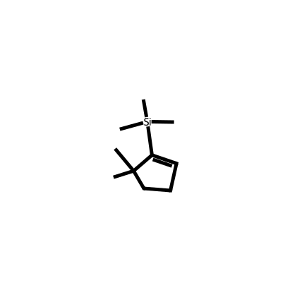 CC1(C)CCC=C1[Si](C)(C)C